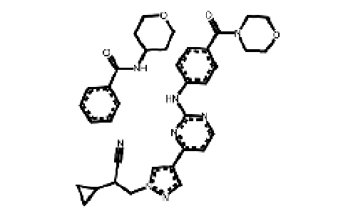 N#CC(Cn1cc(-c2ccnc(Nc3ccc(C(=O)N4CCOCC4)cc3)n2)cn1)C1CC1.O=C(NC1CCOCC1)c1ccccc1